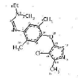 CCN(C)/C=N\c1cc(C)c(Oc2snc(C)c2Cl)cc1C